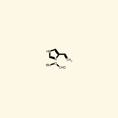 C=Cc1c[nH]cn1.CC(C)(C)OC=O